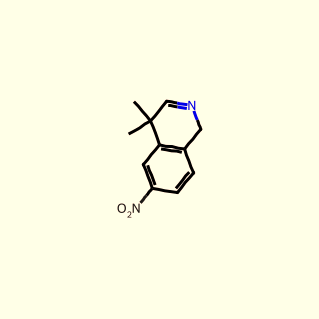 CC1(C)C=NCc2ccc([N+](=O)[O-])cc21